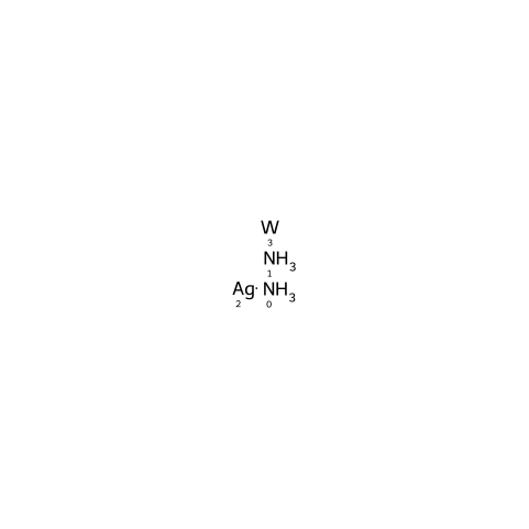 N.N.[Ag].[W]